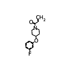 C=CC(=O)N1CCC(Oc2cccc(F)c2)CC1